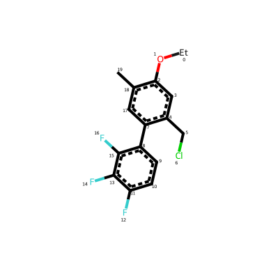 CCOc1cc(CCl)c(-c2ccc(F)c(F)c2F)cc1C